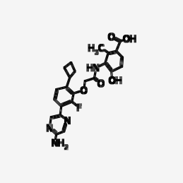 Cc1c(C(=O)O)ccc(O)c1NC(=O)COc1c(C2CCC2)ccc(-c2cnc(N)cn2)c1F